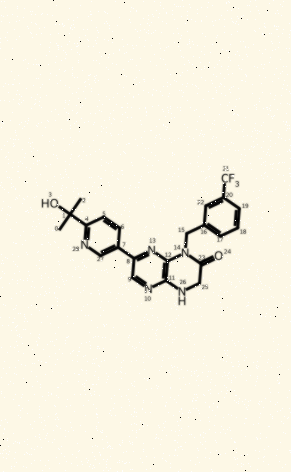 CC(C)(O)c1ccc(-c2cnc3c(n2)N(Cc2cccc(C(F)(F)F)c2)C(=O)CN3)cn1